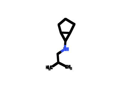 CC(C)CNC1C2CCCC21